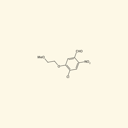 COCCOc1cc(C=O)c([N+](=O)[O-])cc1Cl